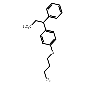 CCOC(=O)CC(c1ccccc1)c1ccc(OCCCC(F)(F)F)cc1